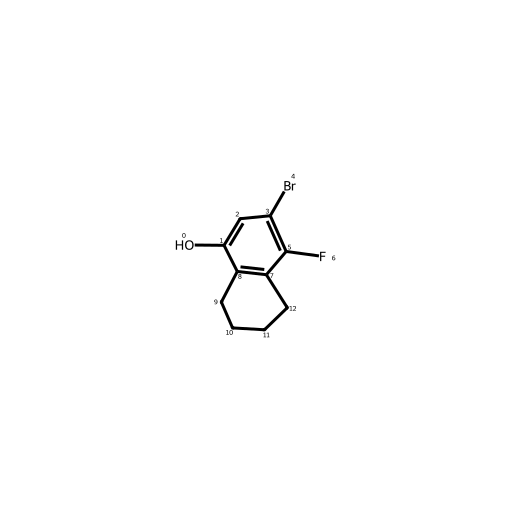 Oc1cc(Br)c(F)c2c1CCCC2